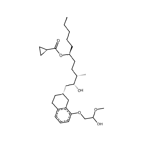 CCCCC[C@@H](CC[C@H](C)[C@H](O)C[C@H]1CCc2cccc(OCC(O)OC)c2C1)OC(=O)C1CC1